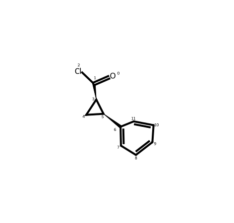 O=C(Cl)[C@@H]1C[C@@H]1c1ccccc1